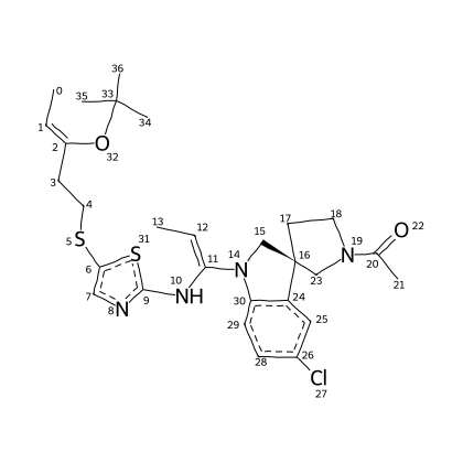 CC=C(CCSc1cnc(NC(=CC)N2C[C@]3(CCN(C(C)=O)C3)c3cc(Cl)ccc32)s1)OC(C)(C)C